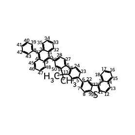 CC1(C)c2cc(-c3ccc4sc5ccc6ccccc6c5c4c3)ccc2-c2ccc(-c3c4ccccc4c(-c4ccccc4)c4ccccc34)cc21